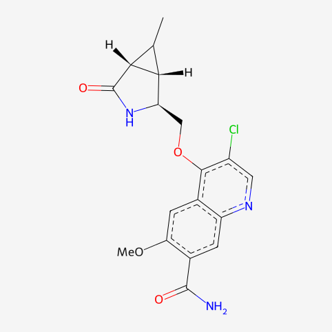 COc1cc2c(OC[C@H]3NC(=O)[C@@H]4C(C)[C@@H]43)c(Cl)cnc2cc1C(N)=O